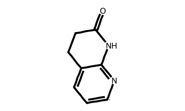 O=C1CCc2cc[c]nc2N1